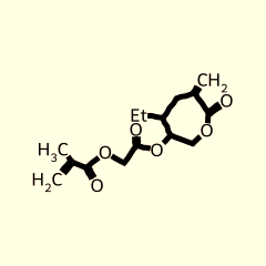 C=C(C)C(=O)OCC(=O)OC1COC(=O)C(=C)CC1CC